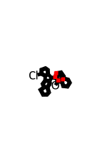 Clc1cccc2c1-c1cc3ccccc3c3c1C2(c1ccccc1)c1ccc2ccccc2c1O3